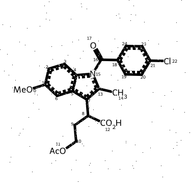 COc1ccc2c(c1)c(C(CCOC(C)=O)C(=O)O)c(C)n2C(=O)c1ccc(Cl)cc1